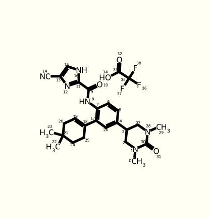 CN1CC(c2ccc(NC(=O)c3nc(C#N)c[nH]3)c(C3=CCC(C)(C)CC3)c2)CN(C)C1=O.O=C(O)C(F)(F)F